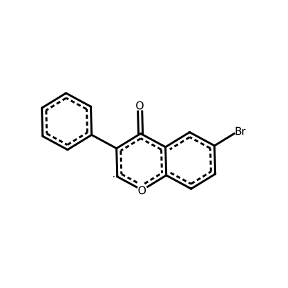 O=c1c(-c2ccccc2)[c]oc2ccc(Br)cc12